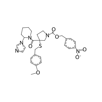 COc1ccc(CSC2(C(=O)N3CCCCC3n3ccnc3)CCN(C(=O)OCc3ccc([N+](=O)[O-])cc3)C2)cc1